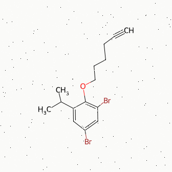 C#CCCCCOc1c(Br)cc(Br)cc1C(C)C